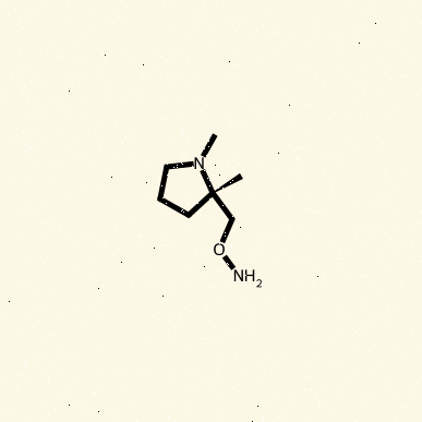 CN1CCC[C@@]1(C)CON